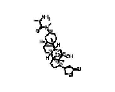 CC(N)C(=O)N(C)[C@H]1CC[C@@]2(C)[C@H](CC[C@@H]3[C@@H]2C[C@@H](O)[C@]2(C)[C@@H](C4=CC(=O)OC4)CC[C@]32O)C1